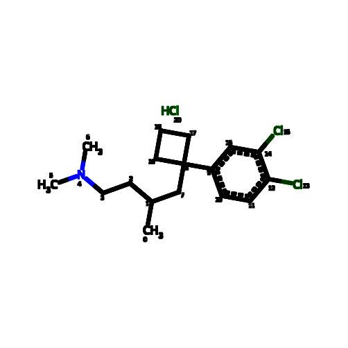 CC(CCN(C)C)CC1(c2ccc(Cl)c(Cl)c2)CCC1.Cl